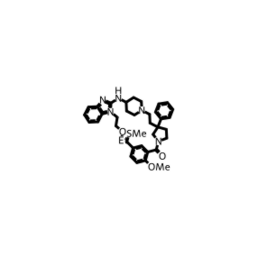 CCOCCn1c(NC2CCN(CCC3(c4ccccc4)CCN(C(=O)c4cc(CSC)ccc4OC)C3)CC2)nc2ccccc21